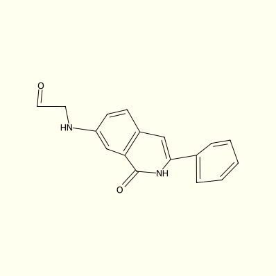 O=CCNc1ccc2cc(-c3ccccc3)[nH]c(=O)c2c1